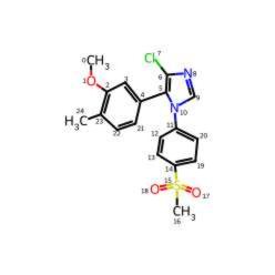 COc1cc(-c2c(Cl)ncn2-c2ccc(S(C)(=O)=O)cc2)ccc1C